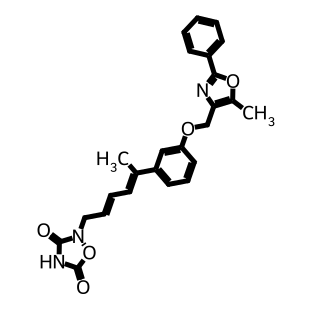 CC(=CC=CCn1oc(=O)[nH]c1=O)c1cccc(OCc2nc(-c3ccccc3)oc2C)c1